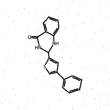 O=C1NC(c2cc(-c3ccccc3)cs2)Nc2ccccc21